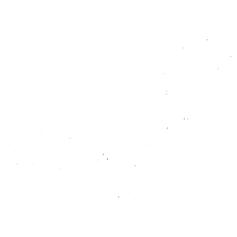 C(=C1c2ccccc2-c2ccccc21)c1ccc(-c2ccc3c(c2)c2ccccc2n3-c2ccc(-c3ccccc3)cc2)cc1